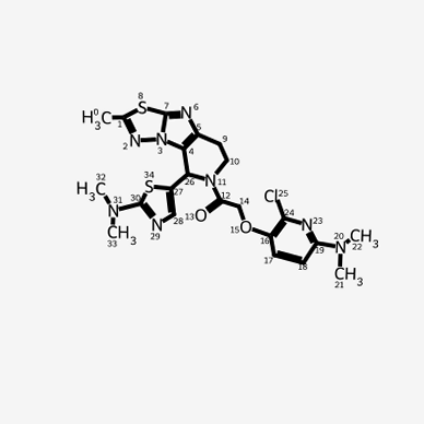 Cc1nn2c3c(nc2s1)CCN(C(=O)COc1ccc(N(C)C)nc1Cl)C3c1cnc(N(C)C)s1